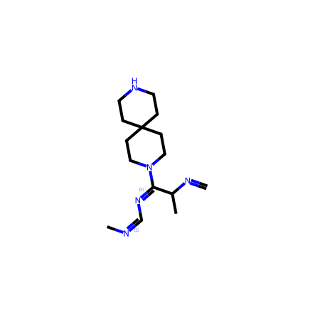 C=NC(C)/C(=N\C=N/C)N1CCC2(CCNCC2)CC1